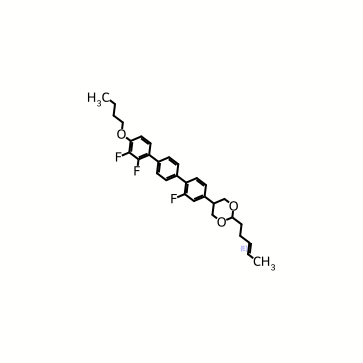 C/C=C/CCC1OCC(c2ccc(-c3ccc(-c4ccc(OCCCC)c(F)c4F)cc3)c(F)c2)CO1